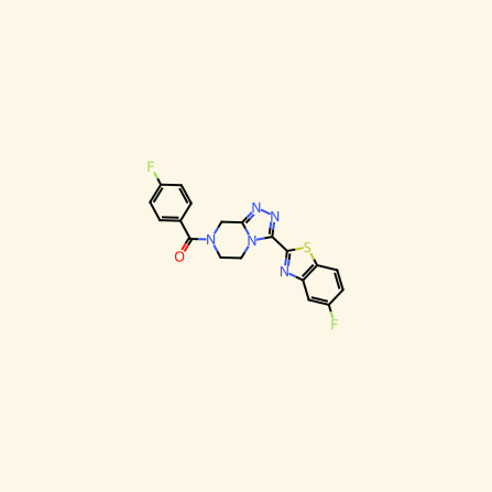 O=C(c1ccc(F)cc1)N1CCn2c(nnc2-c2nc3cc(F)ccc3s2)C1